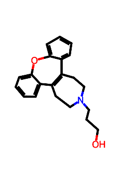 OCCCN1CCC2=C(CC1)c1ccccc1Oc1ccccc12